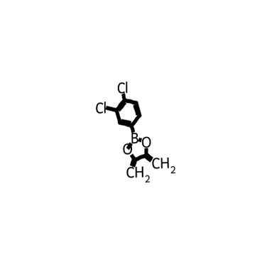 C=C1OB(c2ccc(Cl)c(Cl)c2)OC1=C